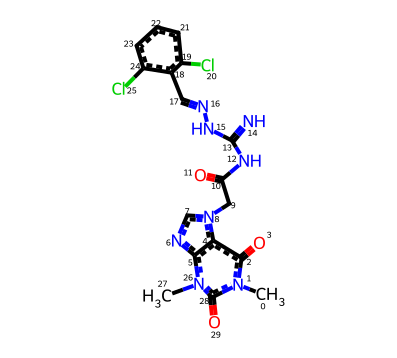 Cn1c(=O)c2c(ncn2CC(=O)NC(=N)NN=Cc2c(Cl)cccc2Cl)n(C)c1=O